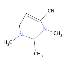 CC1N(C)CC=C(C#N)N1C